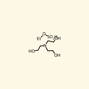 CCOS(=O)(=O)O.OCCN(CCO)CCO